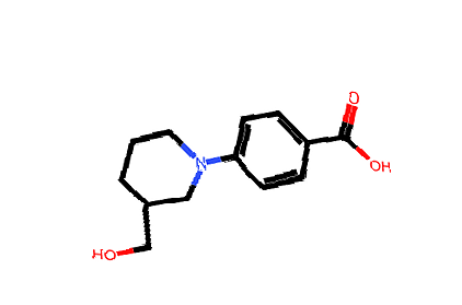 O=C(O)c1ccc(N2CCCC(CO)C2)cc1